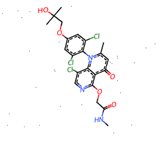 CNC(=O)COc1ncc(Cl)c2c1c(=O)cc(C)n2-c1c(Cl)cc(OCC(C)(C)O)cc1Cl